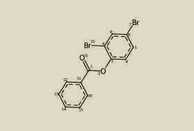 O=C(Oc1ccc(Br)cc1Br)c1ccccc1